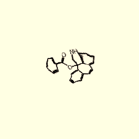 NCC1(OC(=O)c2ccccc2)c2ccccc2C=Cc2ccccc21